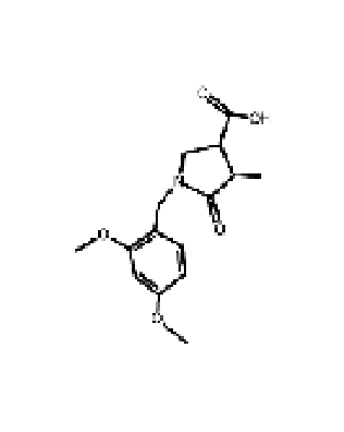 COc1ccc(CN2CC(C(=O)O)[C@@H](C)C2=O)c(OC)c1